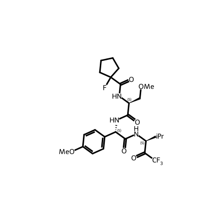 COC[C@H](NC(=O)C1(F)CCCC1)C(=O)N[C@H](C(=O)N[C@H](C(=O)C(F)(F)F)C(C)C)c1ccc(OC)cc1